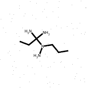 CCCN(N)C(N)(N)CC